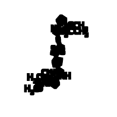 COC(=O)NC(C(=O)N1CCCC1c1nc(-c2ccc(-c3csc4c(C#Cc5cnc(C6CCCN6C(=O)OC(C)(C)C)[nH]5)csc34)cc2)c[nH]1)C(C)C